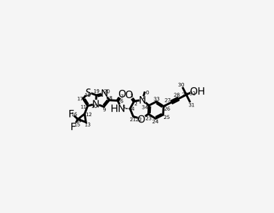 CN1C(=O)[C@@H](NC(=O)c2cn3c(C4CC4(F)F)csc3n2)COc2ccc(C#CC(C)(C)O)cc21